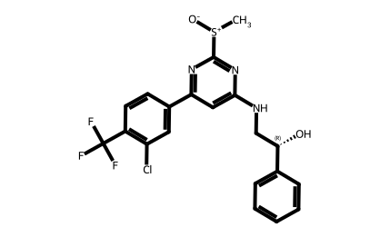 C[S+]([O-])c1nc(NC[C@H](O)c2ccccc2)cc(-c2ccc(C(F)(F)F)c(Cl)c2)n1